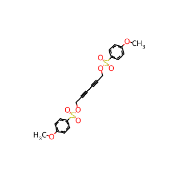 COc1ccc(S(=O)(=O)OCC#CC#CCOS(=O)(=O)c2ccc(OC)cc2)cc1